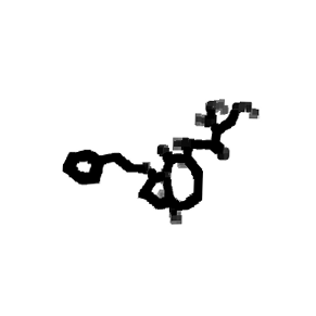 CCC(NC)C(=O)N[C@H]1CCC[C@H]2CCC(SCCc3ccccc3)N2C1=O